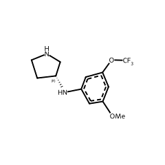 COc1cc(N[C@@H]2CCNC2)cc(OC(F)(F)F)c1